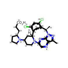 Cc1nn2c3nc(cnc13)N1CCC(N3CCC[C@H]3CCC(=O)O)C[C@@H]1c1cc(c(Cl)cc1Cl)[C@H]2C